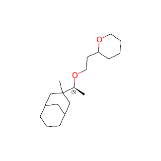 C[C@H](OCCC1CCCCO1)C1(C)CC2CCCC(C2)C1